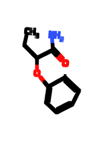 CCC(Oc1[c]cccc1)C(N)=O